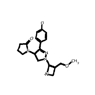 COCC1C[N]C1N1CC(N2CCCC2=O)C(c2ccc(Cl)cc2)=N1